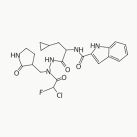 O=C(NC(CC1CC1)C(=O)NN(CC1CCNC1=O)C(=O)C(F)Cl)c1cc2ccccc2[nH]1